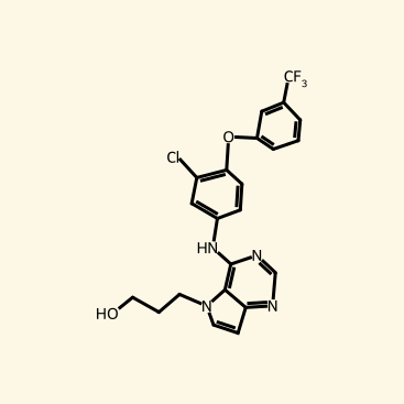 OCCCn1ccc2ncnc(Nc3ccc(Oc4cccc(C(F)(F)F)c4)c(Cl)c3)c21